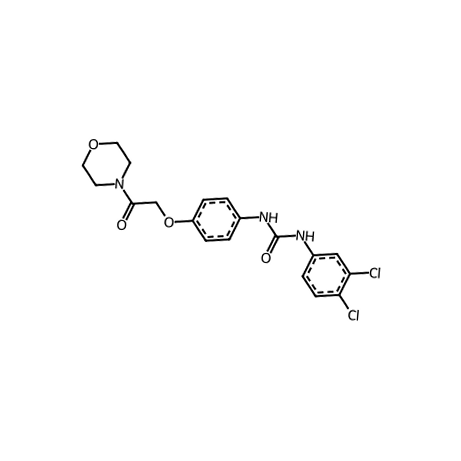 O=C(Nc1ccc(OCC(=O)N2CCOCC2)cc1)Nc1ccc(Cl)c(Cl)c1